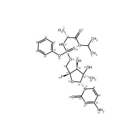 CC(C)OC(=O)[C@@H](C)NP(=S)(OC[C@@]1(F)O[C@@H](n2ccc(N)nc2=O)[C@](C)(O)[C@@H]1O)Oc1ccccc1